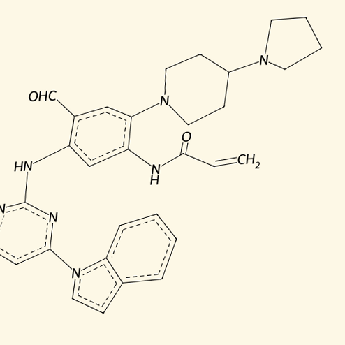 C=CC(=O)Nc1cc(Nc2nccc(-n3ccc4ccccc43)n2)c(C=O)cc1N1CCC(N2CCCC2)CC1